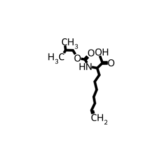 C=CCCCCCC(NC(=O)OCC(C)C)C(=O)O